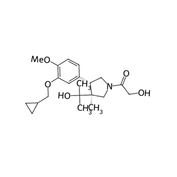 COc1ccc([C@@H]2CN(C(=O)CO)C[C@@]2(C)C(C)(C)O)cc1OCC1CC1